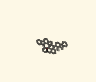 Clc1c(-n2c3cccc4cccc(c43)n3c4c(ccc5c6ccccc6n(-c6ccccc6)c54)nc23)ccc2c1oc1ccccc12